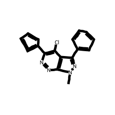 Cn1nc(-c2ccccc2)c2c(Cl)c(C3=C=CC=C3)nnc21